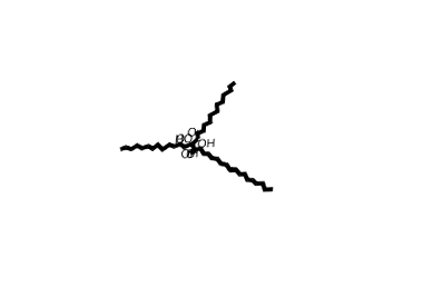 CCCCCCCCC=CCCCCCCCC(=O)C(O)(C(O)C(=O)CCCCCCCCCCC)C(O)C(=O)CCCCCCCCCCC